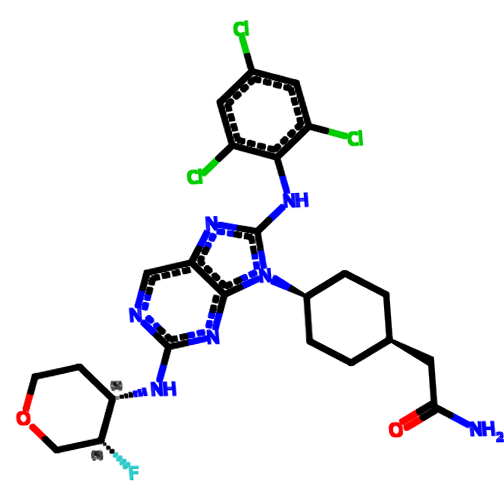 NC(=O)C[C@H]1CC[C@@H](n2c(Nc3c(Cl)cc(Cl)cc3Cl)nc3cnc(N[C@H]4CCOC[C@H]4F)nc32)CC1